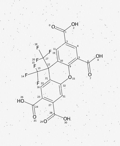 O=C(O)c1cc(C(=O)O)c2c(c1)C(C(F)(F)F)(C(F)(F)F)c1cc(C(=O)O)c(C(=O)O)cc1O2